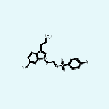 COc1ccc2c(CCC(=O)O)cn(CCNS(=O)(=O)c3ccc(Cl)cc3)c2c1